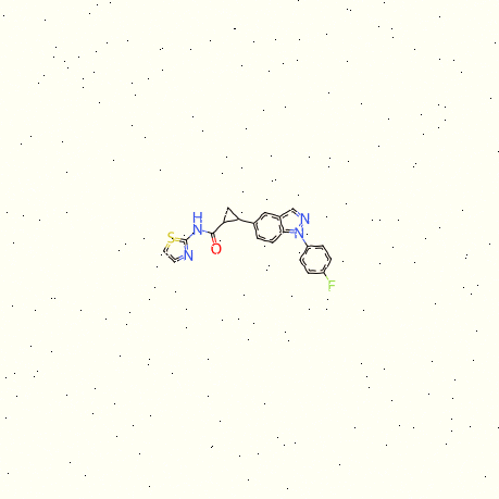 O=C(Nc1nccs1)C1CC1c1ccc2c(cnn2-c2ccc(F)cc2)c1